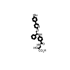 CC(C)(C)c1ccc(-c2ccc(OC[C@@H](Nc3ccc(C(=O)NC[C@@H](O)C(=O)O)cc3)c3ccccc3)nc2)cc1